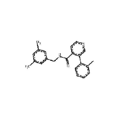 Cc1ccccc1-c1cnccc1C(=O)NCc1cc(C(F)(F)F)cc(C(F)(F)F)c1